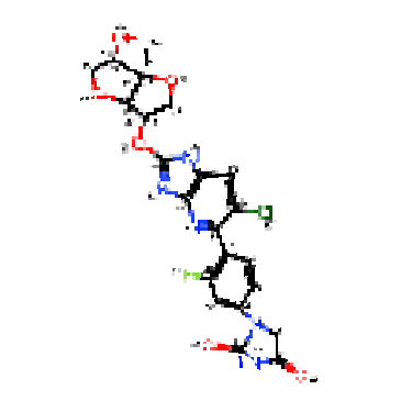 O=C1CN(c2ccc(-c3nc4nc(O[C@@H]5CO[C@H]6C5OC[C@H]6O)[nH]c4cc3Cl)c(F)c2)C(=O)N1